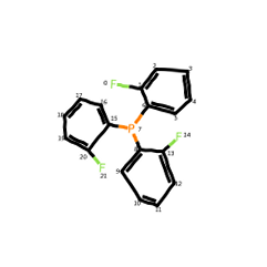 Fc1ccccc1P(c1ccccc1F)c1ccccc1F